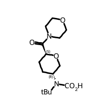 CC(C)(C)N(C(=O)O)[C@@H]1CC[C@@H](C(=O)N2CCOCC2)OC1